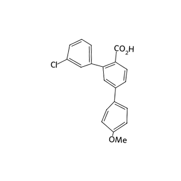 COc1ccc(-c2ccc(C(=O)O)c(-c3cccc(Cl)c3)c2)cc1